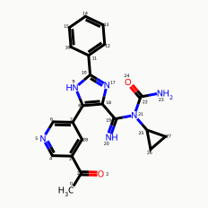 CC(=O)c1cncc(-c2[nH]c(-c3ccccc3)nc2C(=N)N(C(N)=O)C2CC2)c1